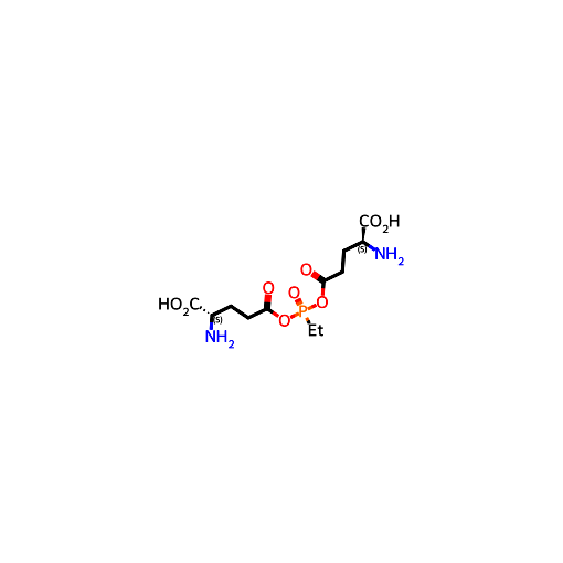 CCP(=O)(OC(=O)CC[C@H](N)C(=O)O)OC(=O)CC[C@H](N)C(=O)O